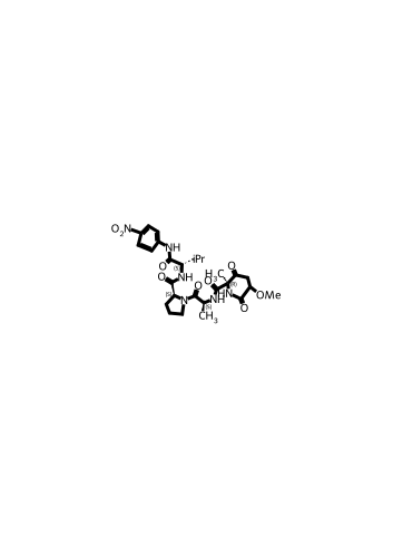 COC1CC(=O)[C@](C)(C(=O)N[C@@H](C)C(=O)N2CCC[C@H]2C(=O)N[C@H](C(=O)Nc2ccc([N+](=O)[O-])cc2)C(C)C)NC1=O